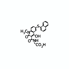 Cn1c(=O)c(C(=O)NCC(=O)O)c(O)c2cc(Sc3cccc4ccccc34)ccc21